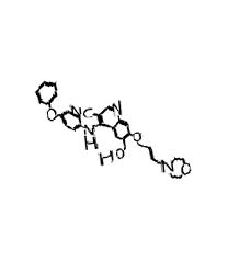 N#Cc1cnc2cc(OCCCN3CCOCC3)c(CO)cc2c1Nc1ccc(Oc2ccccc2)cc1